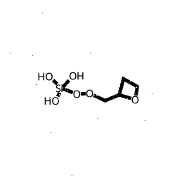 O[Si](O)(O)OOCC1CCO1